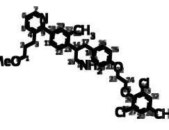 COCCCc1cccnc1-c1ccc(C(CN)Cc2ccc(OCCOc3c(Cl)cc(C)cc3Cl)cc2)c(C)c1